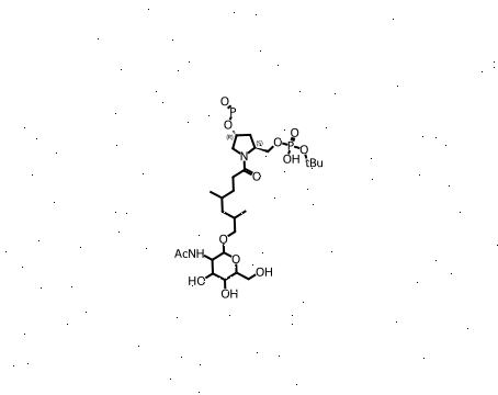 CC(=O)NC1C(OCC(C)CC(C)CCC(=O)N2C[C@H](OP=O)C[C@H]2COP(=O)(O)OC(C)(C)C)OC(CO)C(O)C1O